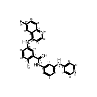 O=C(Nc1cccc(Nc2ccncc2)c1)c1cc(Nc2ccnc3ccc(F)cc23)ccc1F